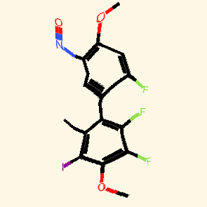 COc1cc(F)c(-c2c(C)c(I)c(OC)c(F)c2F)cc1N=O